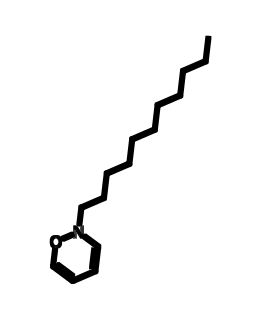 CCCCCCCCCCCN1C=CC=CO1